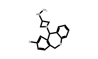 CNC1CN(C2c3cc(Cl)ccc3COc3ccccc32)C1